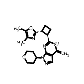 C=C1NC([C@@H]2CC[C@H]2c2nc(C)c(C)o2)=Nc2c1cnn2C1CCOCC1